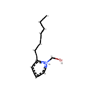 CCCCCCc1cccn1CBr